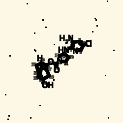 Nc1cc(Cl)cnc1NC1CCN(C(=O)OC2C3CC4C[C@@H]2CC(O)(C4)C3)C1